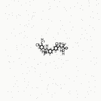 Cc1cc(C(Nc2cccc(-c3ccc(C(=O)NC4(C(=O)O)CC4)c(Cl)c3)c2)C(F)(F)F)ccc1Cl